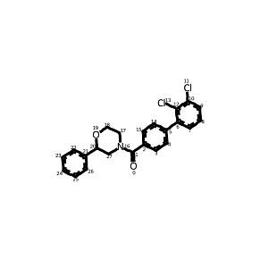 O=C(c1ccc(-c2cccc(Cl)c2Cl)cc1)N1CCOC(c2ccccc2)C1